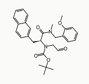 COc1ccccc1CN(C)C(=O)[C@H](Cc1ccc2ccccc2c1)N(CC=O)C(=O)OC(C)(C)C